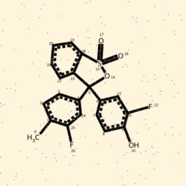 Cc1ccc(C2(c3ccc(O)c(F)c3)OS(=O)(=O)c3ccccc32)cc1F